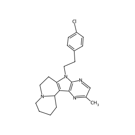 Cc1cnc2c(n1)c1c(n2CCc2ccc(Cl)cc2)CCN2CCCCC12